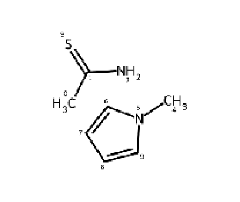 CC(N)=S.Cn1cccc1